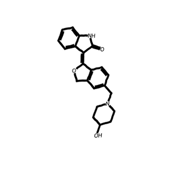 O=C1Nc2ccccc2/C1=C1\OCc2cc(CN3CCC(O)CC3)ccc21